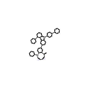 C=C1/C=C\C=C/N(c2ccccc2)c2ccc(-c3ccc4c(c3)c3c(-c5ccccc5)cccc3n4-c3ccc(-c4ccccc4)cc3)cc21